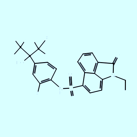 CCN1C(=O)c2cccc3c(S(=O)(=O)Nc4ccc(C(O)(C(F)(F)F)C(F)(F)F)cc4F)ccc1c23